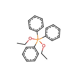 CCOP(OCC)(c1ccccc1)(c1ccccc1)c1ccccc1